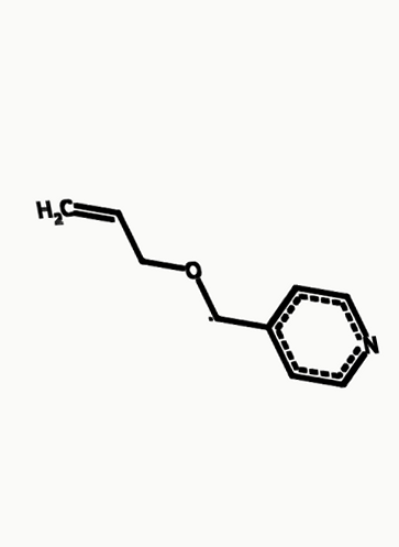 C=CCO[CH]c1ccncc1